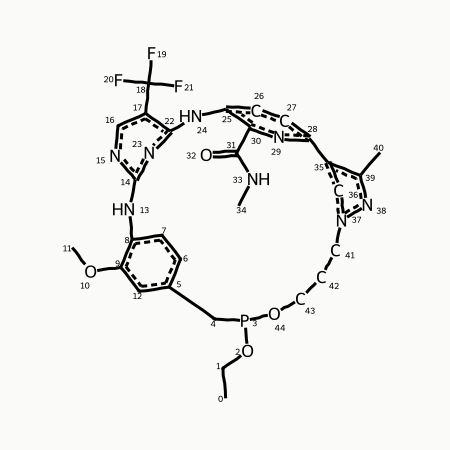 CCOP1Cc2ccc(c(OC)c2)Nc2ncc(C(F)(F)F)c(n2)Nc2ccc(nc2C(=O)NC)-c2cn(nc2C)CCCO1